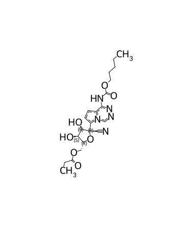 CCCCCOC(=O)Nc1nncn2c([C@]3(C#N)O[C@H](COC(=O)CC)[C@@H](O)[C@H]3O)ccc12